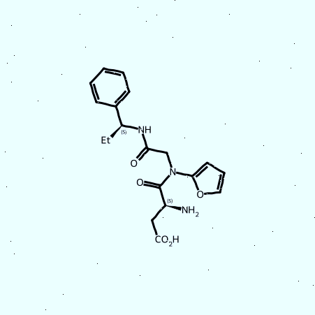 CC[C@H](NC(=O)CN(C(=O)[C@@H](N)CC(=O)O)c1ccco1)c1ccccc1